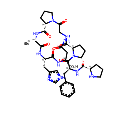 CC[C@H](C)[C@H](NC(=O)[C@@H]1CCCN1C(=O)CNC(=O)[C@@H]1CCCN1C(=O)[C@H](Cc1ccccc1)NC(=O)[C@@H]1CCCN1)C(=O)N[C@@H](Cc1c[nH]cn1)C(=O)N[C@@H](CC(N)=O)C(=O)O